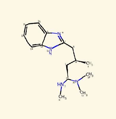 CN[C@@H](C[C@H](C)Cc1nc2ccccc2[nH]1)N(C)C